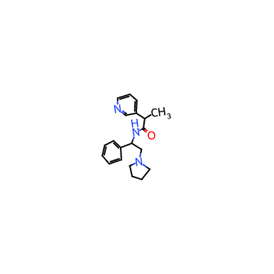 CC(C(=O)NC(CN1CCCC1)c1ccccc1)c1cccnc1